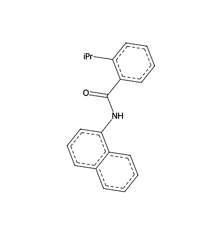 CC(C)c1ccccc1C(=O)Nc1cccc2ccccc12